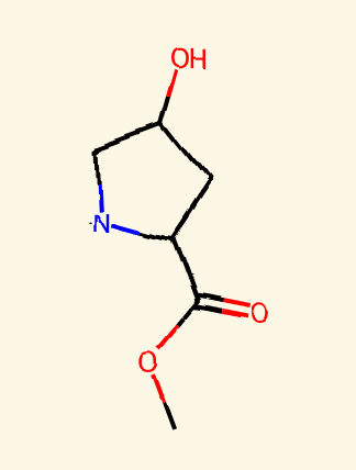 COC(=O)C1CC(O)C[N]1